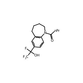 CCCC(=O)N1CCCCc2cc(C(O)(F)C(F)(F)F)ccc21